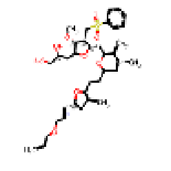 C=CCOC/C=C/[C@H]1CC(=C)C(CCC2C[C@@H](C)C(=C)C(C[C@@H]3OC(C[C@H](O)CO)[C@H](OC)[C@H]3CS(=O)(=O)c3ccccc3)O2)O1